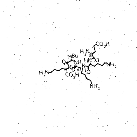 CC[C@H](C)[C@H](NC(=O)[C@H](CCCCN)NC(=O)[C@H](CCCCN)NC(=O)[C@@H](N)CCC(=O)O)C(=O)N[C@@H](CCCCN)C(=O)O